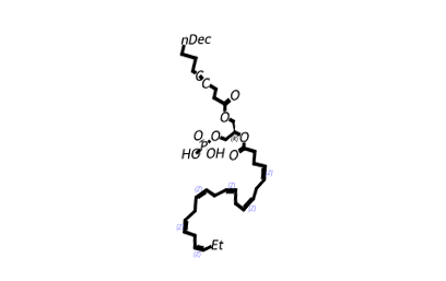 CC/C=C\C/C=C\C/C=C\C/C=C\C/C=C\C/C=C\CCC(=O)O[C@H](COC(=O)CCCCCCCCCCCCCCCCC)COP(=O)(O)O